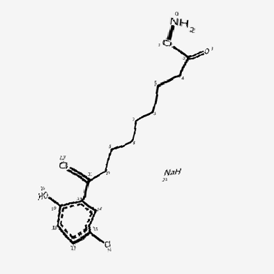 NOC(=O)CCCCCCCC(=O)c1cc(Cl)ccc1O.[NaH]